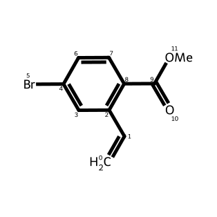 C=Cc1cc(Br)ccc1C(=O)OC